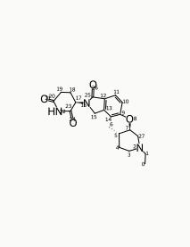 CCN1CC[C@H](C)[C@@H](Oc2ccc3c(c2)CN([C@@H]2CCC(=O)NC2=O)C3=O)C1